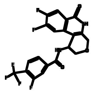 O=C(NC1COCc2[nH]c(=O)c3cc(F)c(F)cc3c21)c1ccc(C(F)(F)F)c(F)c1